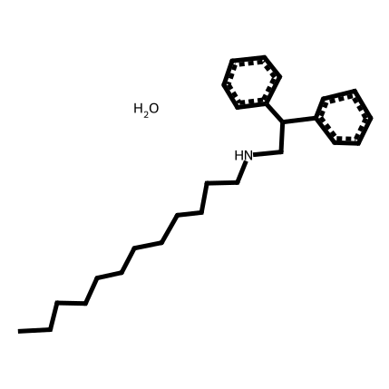 CCCCCCCCCCCCNCC(c1ccccc1)c1ccccc1.O